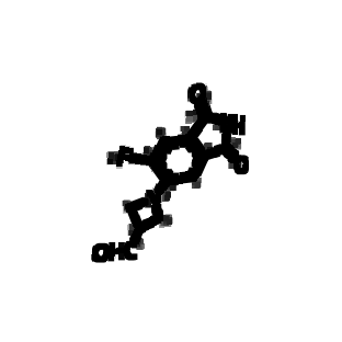 O=CC1CN(c2cc3c(cc2F)C(=O)NC3=O)C1